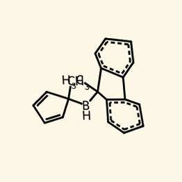 CC1(BC2(C)c3ccccc3-c3ccccc32)C=CC=C1